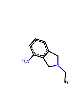 C[C](C)CN1Cc2cccc(N)c2C1